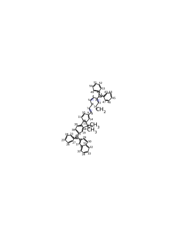 C=C/C=C(\C=C/C/C=C/c1ccc2c(c1)C(C)(C)c1cc(B(c3ccccc3)c3ccc4ccccc4c3)ccc1-2)N(c1ccccc1)c1ccccc1